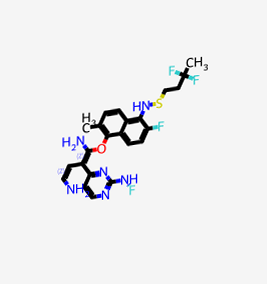 Cc1ccc2c(NSCCC(C)(F)F)c(F)ccc2c1O/C(N)=C(/C=C\N)c1ccnc(NF)n1